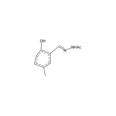 CC(=O)N/N=C/c1cc(C)ccc1O